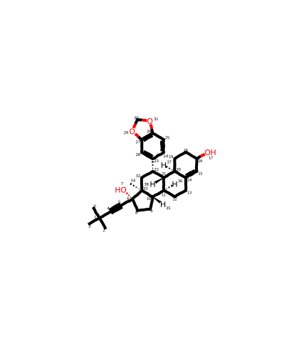 CC(C)(C)C#C[C@]1(O)CC[C@H]2[C@@H]3CCC4=CC(O)CC[C@@H]4[C@H]3[C@@H](c3ccc4c(c3)OCO4)C[C@@]21C